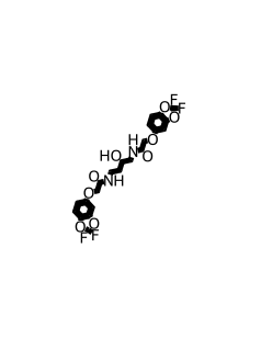 O=C(COc1ccc2c(c1)OC(F)(F)O2)NCC[C@H](O)CNC(=O)COc1ccc2c(c1)OC(F)(F)O2